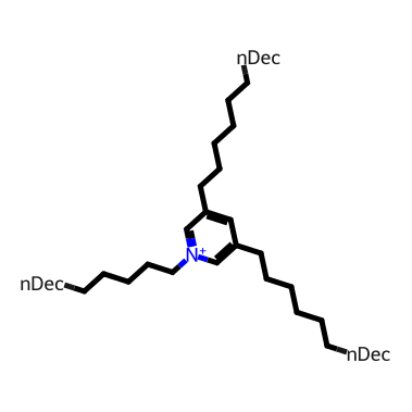 CCCCCCCCCCCCCCCCc1cc(CCCCCCCCCCCCCCCC)c[n+](CCCCCCCCCCCCCCC)c1